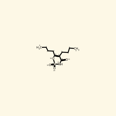 CCCCC1=C(CCCC)C(=O)NS(=O)(=O)O1